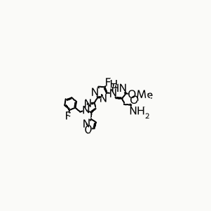 COC(=N)/C(=C\Nc1nc(-c2cc(-c3ccon3)n(Cc3ccccc3F)n2)ncc1F)CC(N)=O